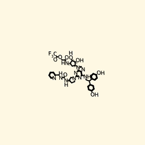 O=C(COC(=O)C(F)(F)F)N[C@H]1C[C@@H](n2cnc3c(NCC(c4ccc(O)cc4)c4ccc(O)cc4)nc(N4CC[C@@H](NC(=O)NCc5ccccn5)C4)nc32)[C@H](O)[C@@H]1O